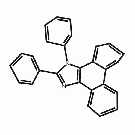 c1ccc(-c2nc3c4ccccc4c4ccccc4c3n2-c2ccccc2)cc1